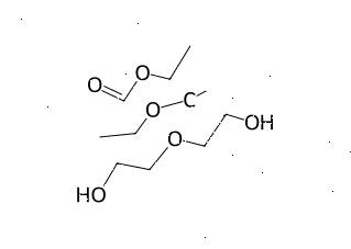 CCOC=O.CCOCC.OCCOCCO